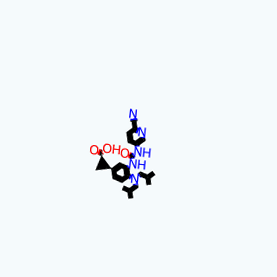 CC(C)CN(CC(C)C)c1ccc([C@@H]2C[C@@H]2C(=O)O)cc1NC(=O)Nc1ccc(C#N)nc1